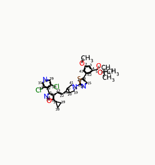 COc1cc(C(=O)OC(C)(C)C)cc(-c2cnc(N3CC4C(C=Cc5c(-c6c(Cl)cncc6Cl)noc5C5CC5)C4C3)s2)c1